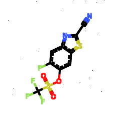 N#Cc1nc2cc(F)c(OS(=O)(=O)C(F)(F)F)cc2s1